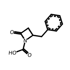 O=C(O)N1C(=O)CC1Cc1ccccc1